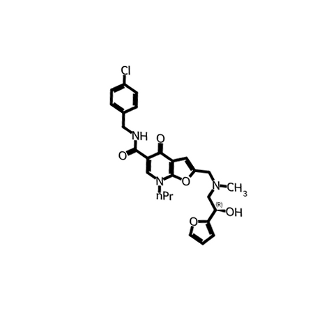 CCCn1cc(C(=O)NCc2ccc(Cl)cc2)c(=O)c2cc(CN(C)C[C@@H](O)c3ccco3)oc21